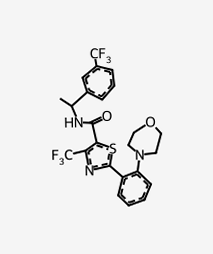 CC(NC(=O)c1sc(-c2ccccc2N2CCOCC2)nc1C(F)(F)F)c1cccc(C(F)(F)F)c1